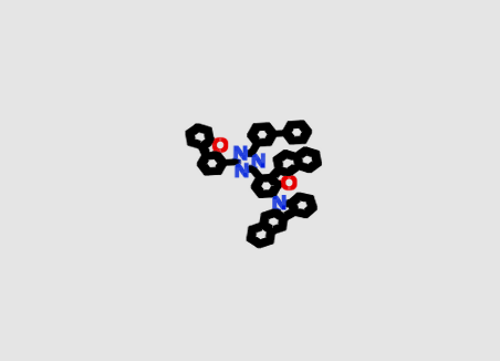 c1ccc(-c2cccc(-c3nc(-c4cccc5c4oc4ccccc45)nc(-c4ccc(-n5c6ccccc6c6cc7ccccc7cc65)c5oc6c7ccccc7ccc6c45)n3)c2)cc1